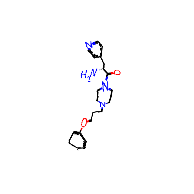 N[C@H](Cc1ccncc1)C(=O)N1CCN(CCCOC2=CC[CH]C=C2)CC1